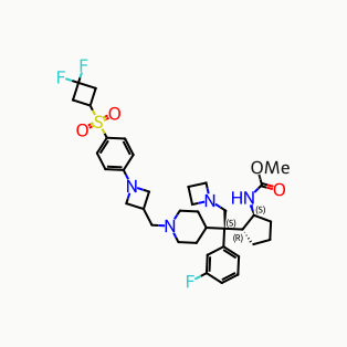 COC(=O)N[C@H]1CCC[C@@H]1[C@](CN1CCC1)(c1cccc(F)c1)C1CCN(CC2CN(c3ccc(S(=O)(=O)C4CC(F)(F)C4)cc3)C2)CC1